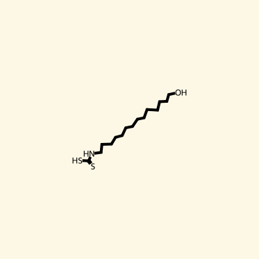 OCCCCCCCCCCCCCCNC(=S)S